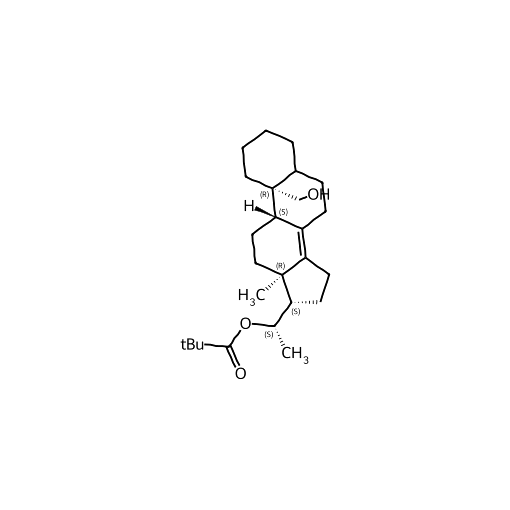 C[C@H](OC(=O)C(C)(C)C)[C@H]1CCC2=C3CCC4CCCC[C@]4(CO)[C@H]3CC[C@@]21C